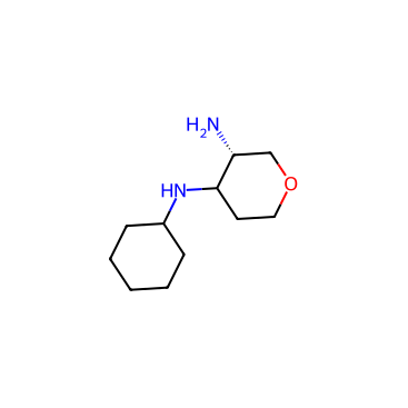 N[C@@H]1COCCC1NC1CCCCC1